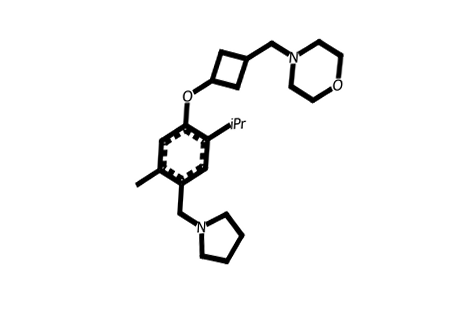 Cc1cc(OC2CC(CN3CCOCC3)C2)c(C(C)C)cc1CN1CCCC1